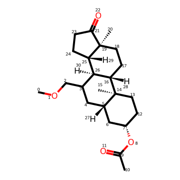 COCC1C[C@H]2C[C@@H](OC(C)=O)CC[C@]2(C)[C@H]2CC[C@]3(C)C(=O)CC[C@H]3[C@H]12